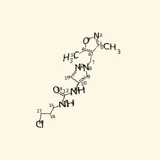 Cc1noc(C)c1Cn1cc(NC(=O)NCCCCl)cn1